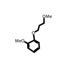 COCCCOc1ccccc1OC